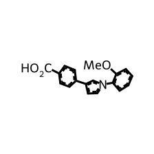 COc1ccccc1-n1ccc(-c2ccc(C(=O)O)cc2)c1